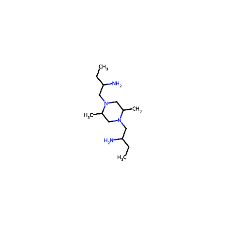 CCC(N)CN1CC(C)N(CC(N)CC)CC1C